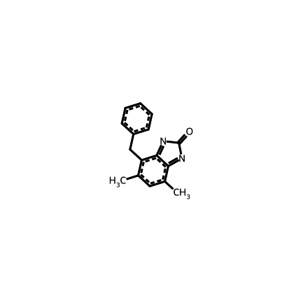 Cc1cc(C)c2c(c1Cc1ccccc1)=NC(=O)N=2